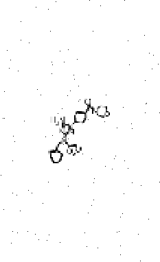 Nc1nc(N(Cc2ccccc2)C2=COCO2)nn1-c1ccc(C(=O)N2CCOCC2)cc1